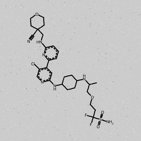 CC(COCCC(F)(F)S(N)(=O)=O)NC1CCC(Nc2cc(-c3cccc(NCC4(C#N)CCOCC4)n3)c(Cl)cn2)CC1